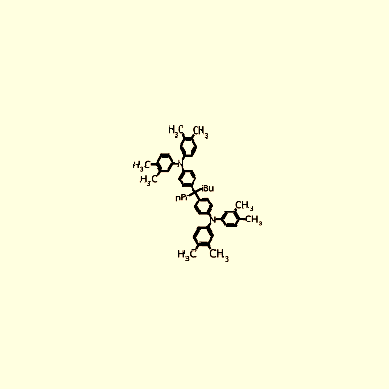 CCCC(c1ccc(N(c2ccc(C)c(C)c2)c2ccc(C)c(C)c2)cc1)(c1ccc(N(c2ccc(C)c(C)c2)c2ccc(C)c(C)c2)cc1)C(C)CC